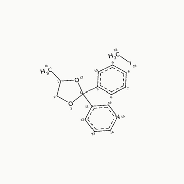 CC1COC(c2ccccc2)(c2cccnc2)O1.CI